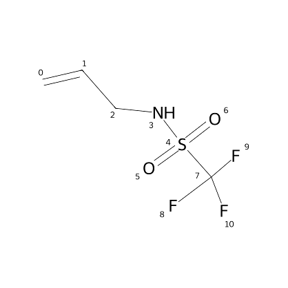 C=CCNS(=O)(=O)C(F)(F)F